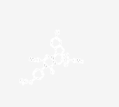 COC(=O)O[C@@]12Cc3cc(Cl)ccc3C1=NN(C(=O)N(C(=O)OC)c1ccc(SC(F)(F)F)cc1)CO2